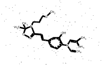 C=CN(/C=C(/C)N)c1ccc(/C=C/C2=NOC(C)(C)N2CCCOC)cc1O